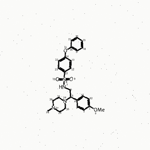 COc1ccc(C(CNS(=O)(=O)c2ccc(Oc3ccccc3)cc2)N2CCN(C)CC2)cc1